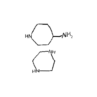 C1CNCCN1.NC1CCNCC1